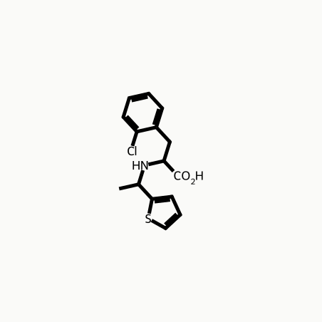 CC(NC(Cc1ccccc1Cl)C(=O)O)c1cccs1